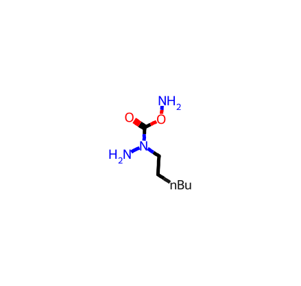 CCCCCCN(N)C(=O)ON